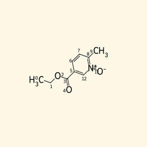 CCOC(=O)c1ccc(C)[n+]([O-])c1